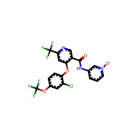 O=C(Nc1ccc[n+]([O-])c1)c1cnc(C(F)(F)F)cc1Oc1ccc(OC(F)(F)F)cc1Cl